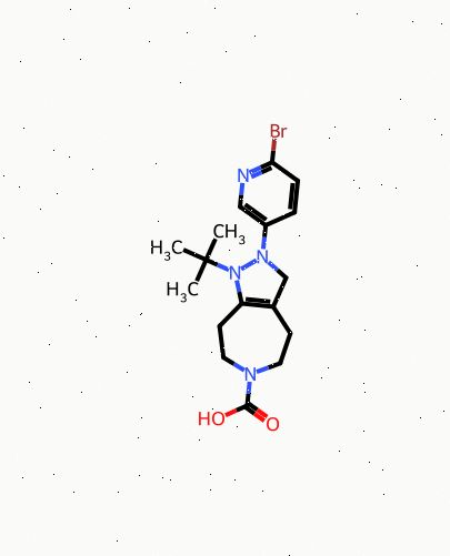 CC(C)(C)N1C2=C(CCN(C(=O)O)CC2)CN1c1ccc(Br)nc1